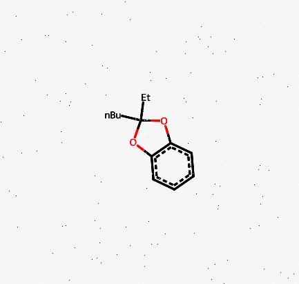 CCCCC1(CC)Oc2ccccc2O1